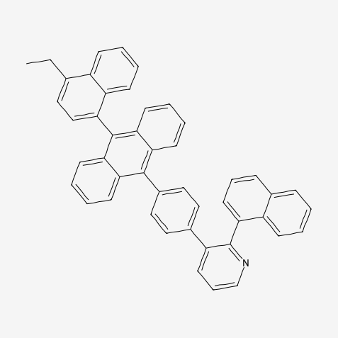 CCc1ccc(-c2c3ccccc3c(-c3ccc(-c4cccnc4-c4cccc5ccccc45)cc3)c3ccccc23)c2ccccc12